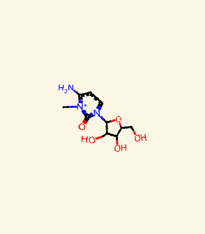 C[n+]1c(N)ccn(C2OC(CO)C(O)C2O)c1=O